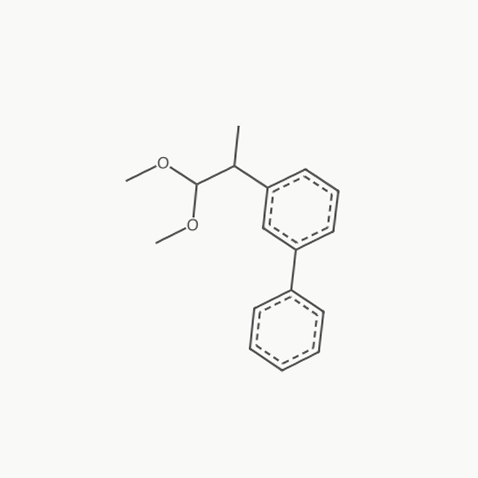 COC(OC)C(C)c1cccc(-c2ccccc2)c1